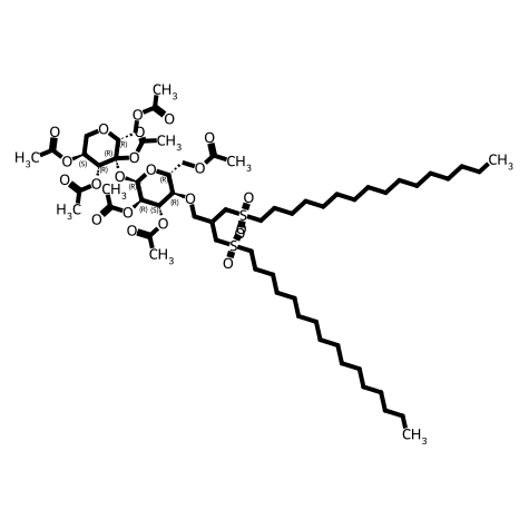 CCCCCCCCCCCCCCCCS(=O)(=O)CC(CO[C@H]1[C@H](OC(C)=O)[C@@H](OC(C)=O)[C@@H](O[C@]2(OC(C)=O)[C@H](OC(C)=O)[C@@H](OC(C)=O)CO[C@@H]2COC(C)=O)O[C@@H]1COC(C)=O)CS(=O)(=O)CCCCCCCCCCCCCCCC